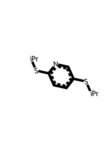 CC(C)Sc1ccc(SC(C)C)nc1